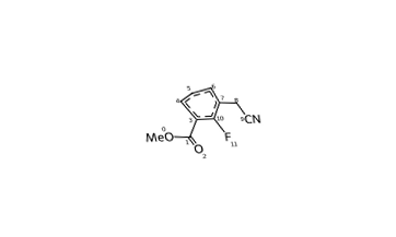 COC(=O)c1cccc(CC#N)c1F